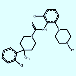 CC(C)N1CCN(c2cccc(Cl)c2NC(=O)N2CCC(C)(c3ccccc3Cl)CC2)CC1